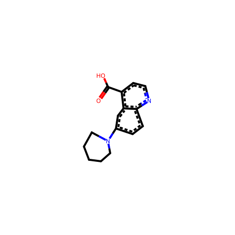 O=C(O)c1ccnc2ccc(N3CCCCC3)cc12